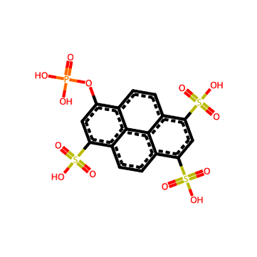 O=P(O)(O)Oc1cc(S(=O)(=O)O)c2ccc3c(S(=O)(=O)O)cc(S(=O)(=O)O)c4ccc1c2c43